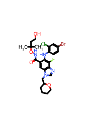 CC(C)(CCO)ONC(=O)c1cc2c(ncn2CC2CCCCO2)c(F)c1Nc1ccc(Br)cc1Cl